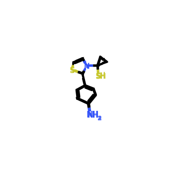 Nc1ccc(C2SC=CN2C2(S)CC2)cc1